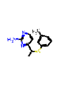 CC(Sc1cccc(C(F)(F)F)c1)c1ccnc(N)n1